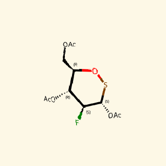 CC(=O)OC[C@H]1OS[C@H](OC(C)=O)[C@@H](F)[C@@H]1OC(C)=O